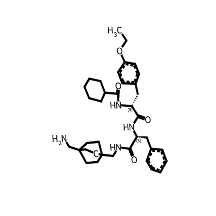 CCOc1ccc(C[C@@H](NC(=O)C2CCCCC2)C(=O)N[C@@H](Cc2ccccc2)C(=O)NCC23CCC(CN)(CC2)CC3)cc1